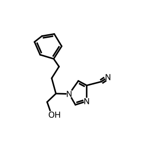 N#Cc1cn(C(CO)CCc2ccccc2)cn1